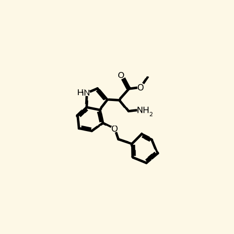 COC(=O)C(CN)c1c[nH]c2cccc(OCc3ccccc3)c12